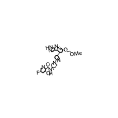 COCCOc1cc(-c2ccc(N3CCC(C)(NC(=O)c4ncc(F)cc4Cl)CC3)nc2)c2c3cn[nH]c3nn2c1